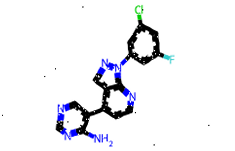 Nc1ncncc1-c1ccnc2c1cnn2-c1cc(F)cc(Cl)c1